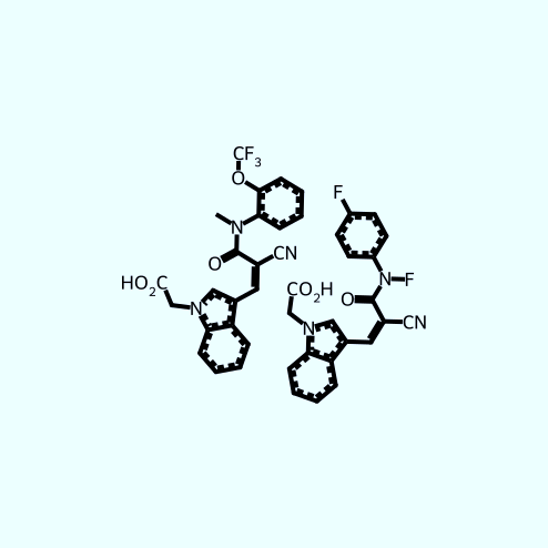 CN(C(=O)C(C#N)=Cc1cn(CC(=O)O)c2ccccc12)c1ccccc1OC(F)(F)F.N#CC(=Cc1cn(CC(=O)O)c2ccccc12)C(=O)N(F)c1ccc(F)cc1